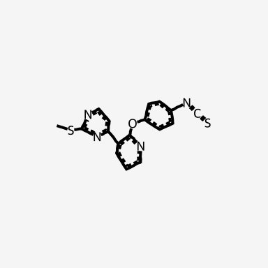 CSc1nccc(-c2cccnc2Oc2ccc(N=C=S)cc2)n1